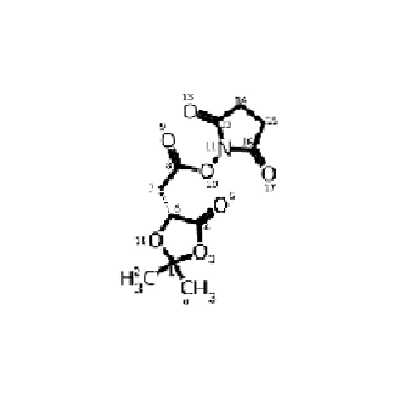 CC1(C)OC(=O)[C@@H](CC(=O)ON2C(=O)CCC2=O)O1